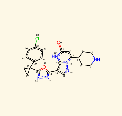 O=c1cc(C2CCNCC2)n2ncc(-c3nnc(C4(c5ccc(Cl)cc5)CC4)o3)c2[nH]1